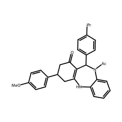 COc1ccc(C2CC(=O)C3=C(C2)Nc2ccccc2N(C(C)=O)C3c2ccc(C(C)C)cc2)cc1